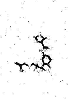 C=C(N)COCC(F)(F)[C@](C)(N)c1cc(NC(=O)c2ncoc2CC)ccc1F